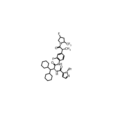 CC(C)n1nccc1C(=O)N[C@H](C(=O)Nc1ccc([C@H](C)C(=O)N2CC(F)CC2C(F)(F)F)cc1F)C(C1CCCCC1)C1CCCCC1